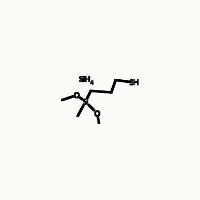 CO[Si](C)(CCCS)OC.[SiH4]